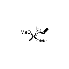 C=C[SiH2][N+](C)(OC)OC